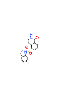 Cc1ccc2c(c1)N(S(=O)(=O)c1cccc3c(=O)[nH]ccc13)CC2